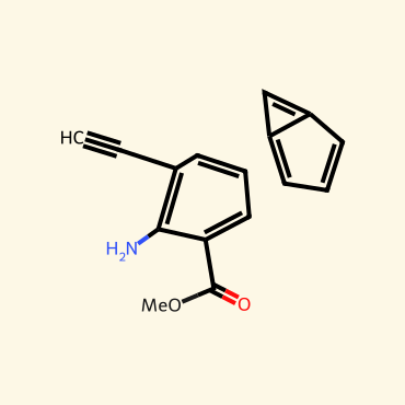 C#Cc1cccc(C(=O)OC)c1N.c1cc2cc-2c1